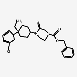 NC[C@]1(C2C=CC=C(Cl)C2)CC[C@H](N2CCN(C(=O)OCc3ccccc3)CC2=O)CC1